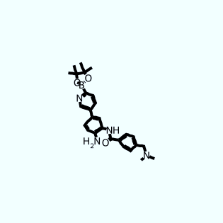 CN(C)Cc1ccc(C(=O)Nc2cc(-c3ccc(B4OC(C)(C)C(C)(C)O4)nc3)ccc2N)cc1